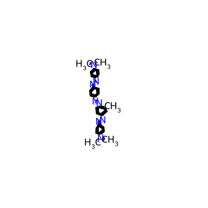 Cc1cc(N=Nc2ccc(N(C)C)cc2)ccc1/N=N/c1ccc(N=Nc2ccc(N(C)C)cc2)cc1